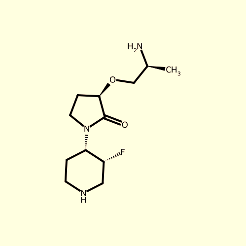 C[C@H](N)CO[C@@H]1CCN([C@H]2CCNC[C@H]2F)C1=O